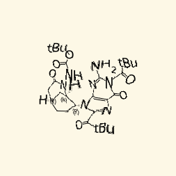 CC(C)(C)OC(=O)NN1C(=O)C[C@@H]2CC[C@@H](n3c(C(=O)C(C)(C)C)nc4c(=O)n(C(=O)C(C)(C)C)c(N)nc43)[C@H]1C2